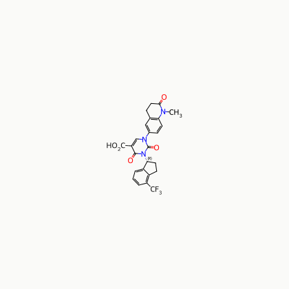 CN1C(=O)CCc2cc(-n3cc(C(=O)O)c(=O)n([C@@H]4CCc5c4cccc5C(F)(F)F)c3=O)ccc21